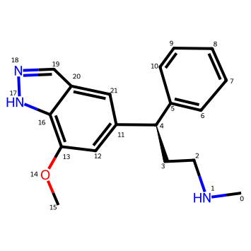 CNCC[C@H](c1ccccc1)c1cc(OC)c2[nH]ncc2c1